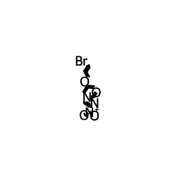 O=[N+]([O-])c1cn2c(n1)OCC(OC/C=C/Br)C2